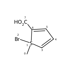 CS1(Br)C=CC=C1C(=O)O